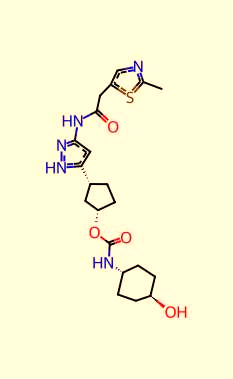 Cc1ncc(CC(=O)Nc2cc([C@@H]3CC[C@H](OC(=O)N[C@H]4CC[C@H](O)CC4)C3)[nH]n2)s1